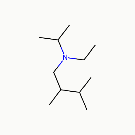 CCN(CC(C)C(C)C)C(C)C